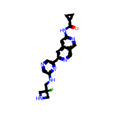 O=C(Nc1cc2cc(-c3cncc(NCC4(F)CNC4)n3)ncc2cn1)C1CC1